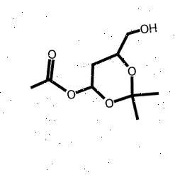 CC(=O)OC1CC(CO)OC(C)(C)O1